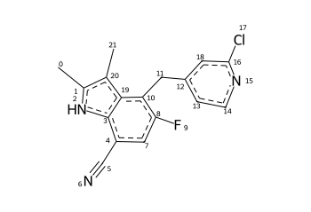 Cc1[nH]c2c(C#N)cc(F)c(Cc3ccnc(Cl)c3)c2c1C